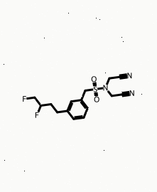 N#CCN(CC#N)S(=O)(=O)Cc1cccc(CCC(F)CF)c1